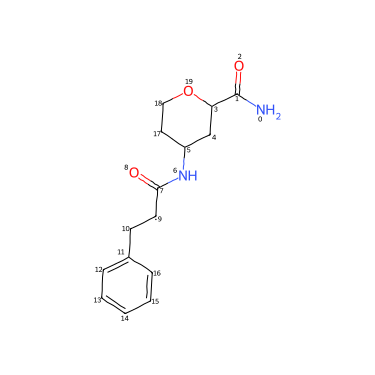 NC(=O)C1CC(NC(=O)[CH]Cc2ccccc2)CCO1